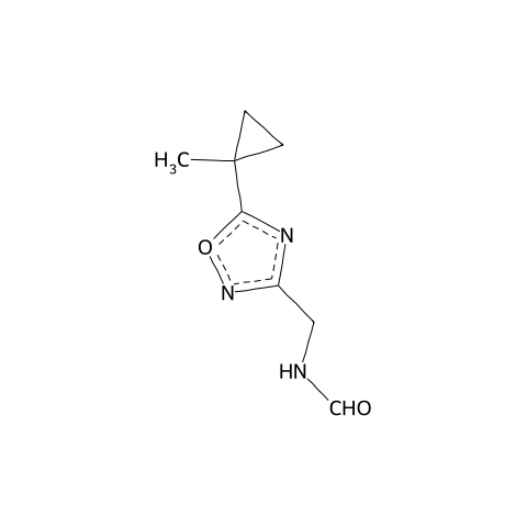 CC1(c2nc(CNC=O)no2)CC1